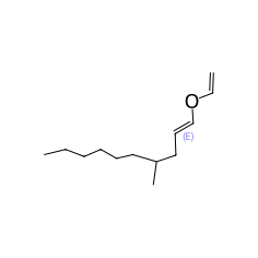 C=CO/C=C/CC(C)CCCCCC